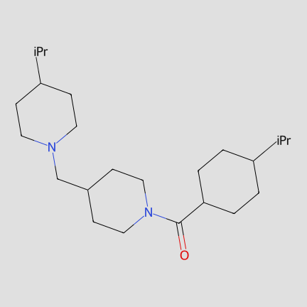 CC(C)C1CCC(C(=O)N2CCC(CN3CCC(C(C)C)CC3)CC2)CC1